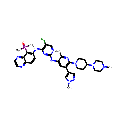 COc1nc(N2CCC(N3CCN(C)CC3)CC2)c(-c2cnn(C)c2)cc1Nc1ncc(Br)c(Nc2ccc3nccnc3c2P(C)(C)=O)n1